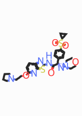 O=C(Nc1nc2ccc(OCCN3CCCC3)nc2s1)/C(=N/N1CCOCC1)c1ccc(S(=O)(=O)C2CC2)cc1